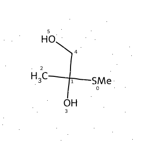 CSC(C)(O)CO